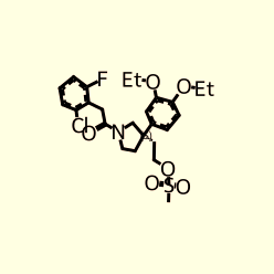 CCOc1ccc([C@@]2(CCOS(C)(=O)=O)CCN(C(=O)Cc3c(F)cccc3Cl)C2)cc1OCC